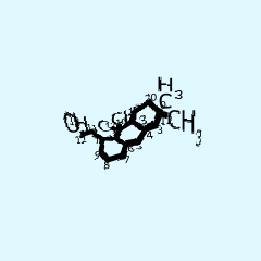 CC1(C)C=C2C=C3CCCC(CC=O)C3C(C)(C)C2CC1